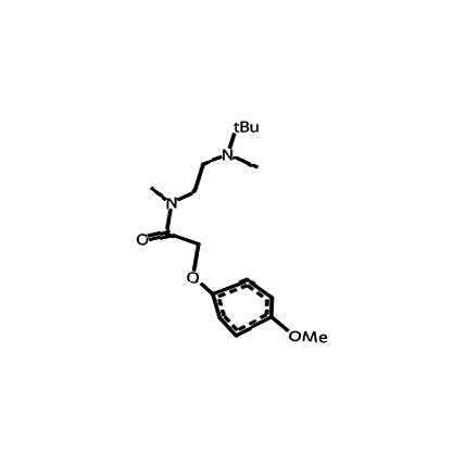 COc1ccc(OCC(=O)N(C)CCN(C)C(C)(C)C)cc1